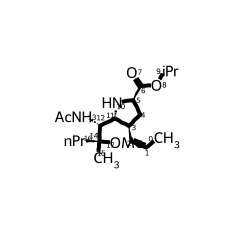 C/C=C\[C@@H]1C[C@H](C(=O)OC(C)C)N[C@H]1[C@@H](NC(C)=O)[C@](C)(CCC)OC